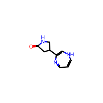 O=C1CC(C2=CNC=CC=N2)CN1